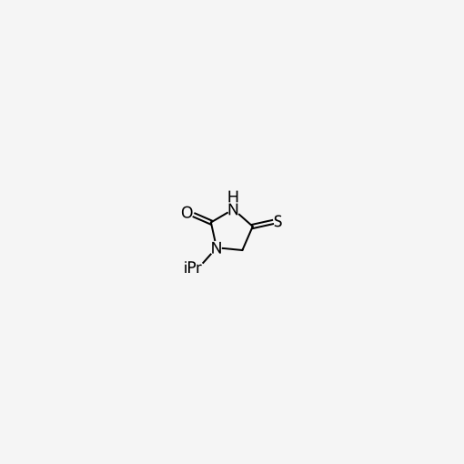 CC(C)N1CC(=S)NC1=O